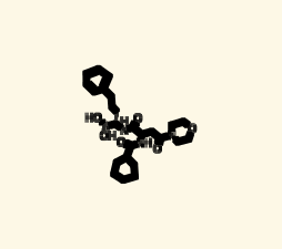 O=C(NC(CC(=O)N1CCOCC1)C(=O)N[C@@H](CCCc1ccccc1)B(O)O)C1CCCCC1